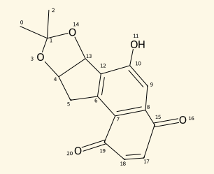 CC1(C)OC2Cc3c4c(cc(O)c3C2O1)C(=O)C=CC4=O